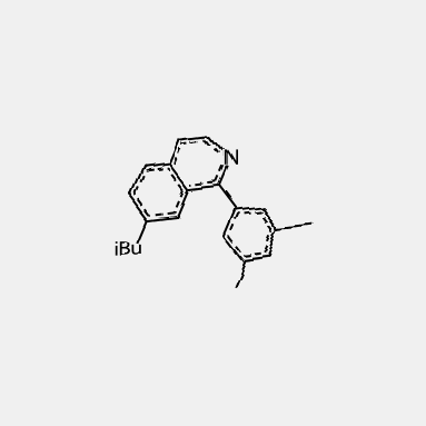 CCC(C)c1ccc2ccnc(-c3cc(C)cc(C)c3)c2c1